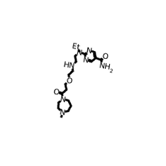 CCN(CCNCCOCCC(=O)N1CCCN(C)CC1)c1ncc(C(N)=O)cn1